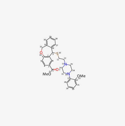 COC(=O)c1ccc2c(c1)C(SCCN1CCN(c3ccccc3OC)CC1)c1ccccc1CO2